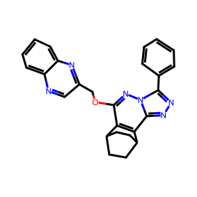 c1ccc(-c2nnc3c4c(c(OCc5cnc6ccccc6n5)nn23)C2CCC4CC2)cc1